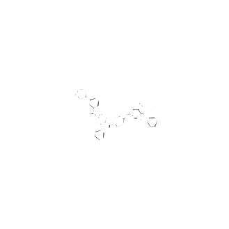 Nc1c(Oc2ccc(F)cc2)ncn(CC2(O)CCN(C(=O)[C@@H]3CCN(C(=O)c4cccc(C5CCCNC5)c4)C[C@H]3c3ccccc3)CC2)c1=O